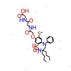 CCCCC1(CCCC)CN(c2ccccc2)c2cc(SC)c(OCC(=O)NCC(=O)NCC(=O)O)cc2S(=O)(=O)N1C